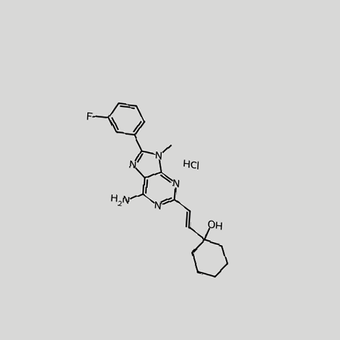 Cl.Cn1c(-c2cccc(F)c2)nc2c(N)nc(C=CC3(O)CCCCC3)nc21